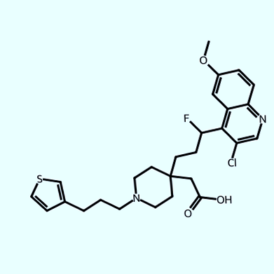 COc1ccc2ncc(Cl)c(C(F)CCC3(CC(=O)O)CCN(CCCc4ccsc4)CC3)c2c1